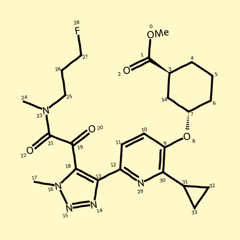 COC(=O)[C@H]1CCC[C@H](Oc2ccc(-c3nnn(C)c3C(=O)C(=O)N(C)CCCF)nc2C2CC2)C1